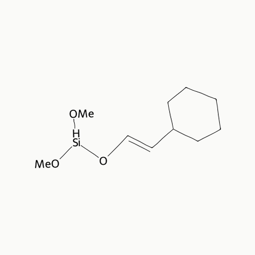 CO[SiH](OC)OC=CC1CCCCC1